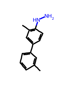 Cc1cccc(-c2ccc(NN)c(C)c2)c1